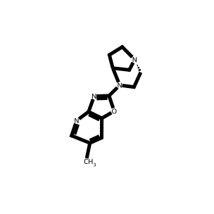 Cc1cnc2nc(N3CC[N@@]4CCC3C4)oc2c1